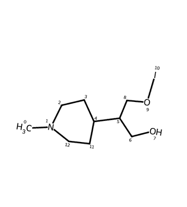 CN1CCC(C(CO)COI)CC1